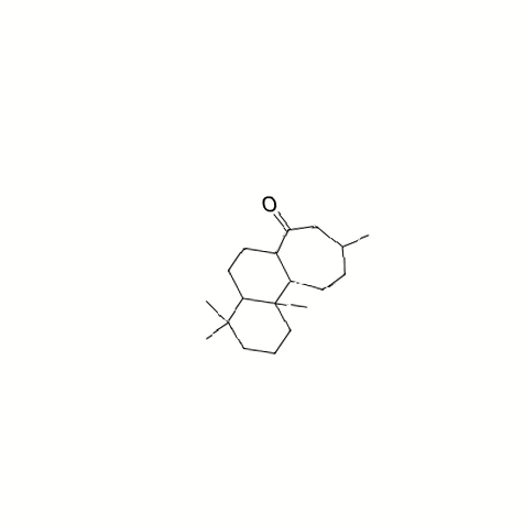 CC1CCC2C(CCC3C(C)(C)CCCC23C)C(=O)C1